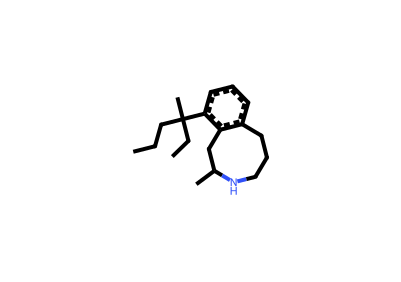 CCCC(C)(CC)c1cccc2c1CC(C)NCCC2